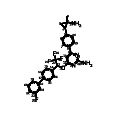 CC1(N)CC1c1ccc(-c2cc(OC(c3ccc(-c4cccc(F)c4)cc3)C(F)(F)F)nc(N)n2)cc1